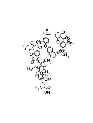 CC1COc2ccccc2N1C(=O)C(Cl)Cl.CCOc1cc(Oc2ccc(C(F)(F)F)cc2Cl)ccc1[N+](=O)[O-].CCc1cccc(C)c1N(C(=O)CCl)C(C)COC.CP(=O)(O)CCC(N)C(=O)O.CS(=O)(=O)c1ccc(C(=O)C2C(=O)CCCC2=O)c([N+](=O)[O-])c1